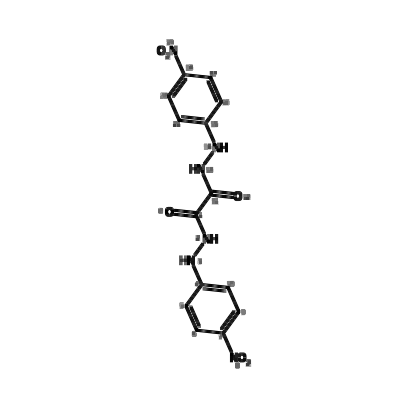 O=C(NNc1ccc([N+](=O)[O-])cc1)C(=O)NNc1ccc([N+](=O)[O-])cc1